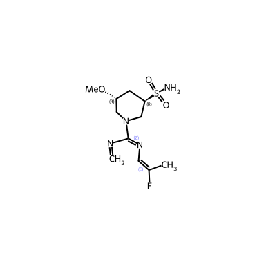 C=N/C(=N\C=C(/C)F)N1C[C@H](OC)C[C@@H](S(N)(=O)=O)C1